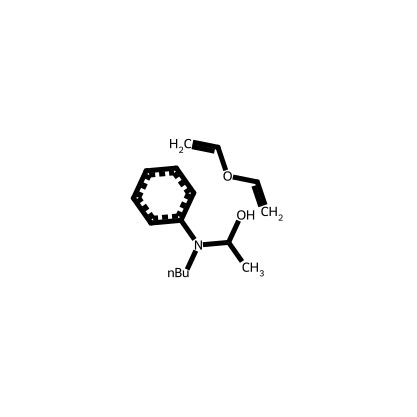 C=COC=C.CCCCN(c1ccccc1)C(C)O